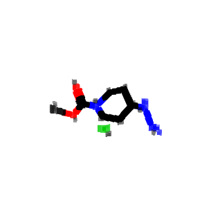 CC(C)OC(=O)N1CCC(NN)CC1.Cl